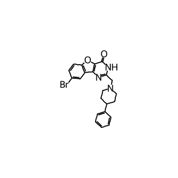 O=c1[nH]c(CN2CCC(c3ccccc3)CC2)nc2c1oc1ccc(Br)cc12